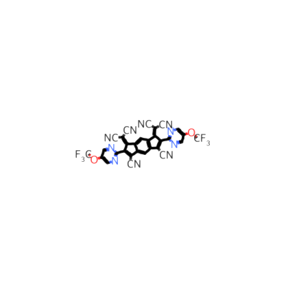 N#CC(C#N)=C1C(c2ncc(OC(F)(F)F)cn2)=C(C#N)c2cc3c(cc21)C(=C(C#N)C#N)C(c1ncc(OC(F)(F)F)cn1)=C3C#N